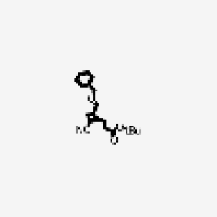 CC(C)(C)OC(=O)CCC1C2(C#N)CC1(COCc1ccccc1)C2